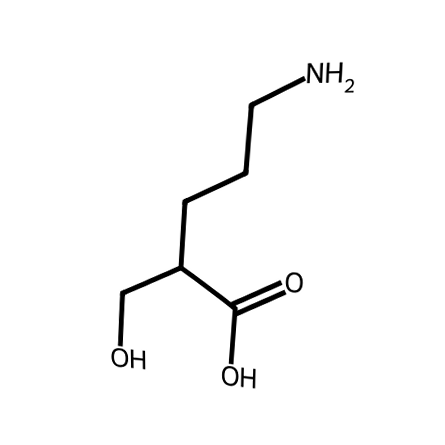 NCCCC(CO)C(=O)O